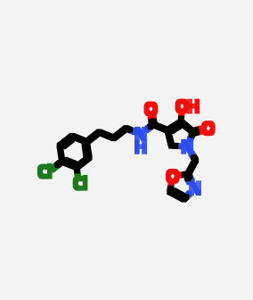 O=C(NCCCc1ccc(Cl)c(Cl)c1)C1=C(O)C(=O)N(Cc2ncco2)C1